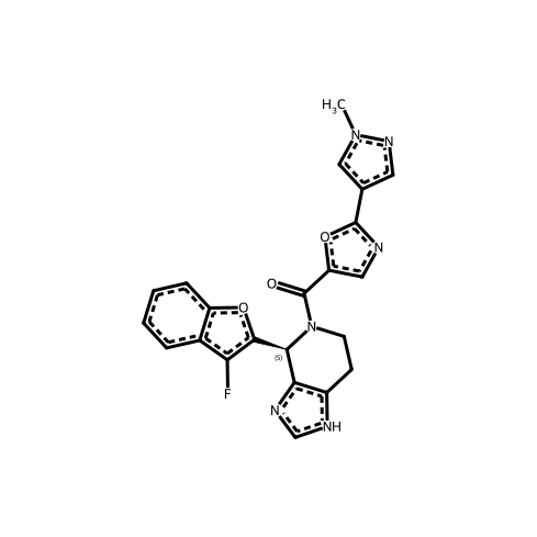 Cn1cc(-c2ncc(C(=O)N3CCc4[nH]cnc4[C@H]3c3oc4ccccc4c3F)o2)cn1